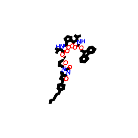 CCCCCc1ccc(-c2cc3cn([C@H]4CC[C@@H](COC(=O)C(NC(=O)C5CCCC5C(=O)C(NC(=O)OCC5c6ccccc6-c6ccccc65)C(C)C)C(C)C)O4)c(=O)nc3o2)cc1